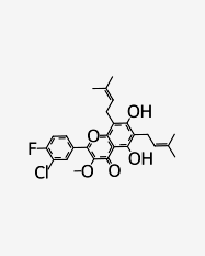 COc1c(-c2ccc(F)c(Cl)c2)oc2c(CC=C(C)C)c(O)c(CC=C(C)C)c(O)c2c1=O